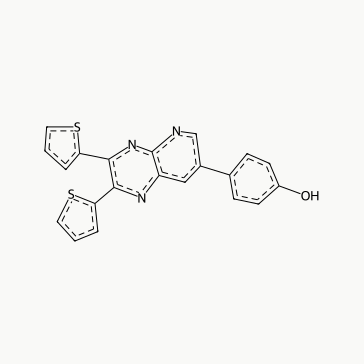 Oc1ccc(-c2cnc3nc(-c4cccs4)c(-c4cccs4)nc3c2)cc1